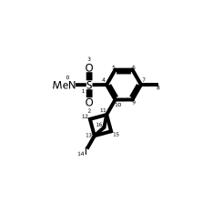 CNS(=O)(=O)c1ccc(C)cc1C12CC(I)(C1)C2